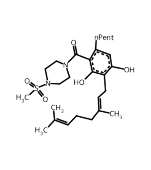 CCCCCc1cc(O)c(C/C=C(\C)CCC=C(C)C)c(O)c1C(=O)N1CCN(S(C)(=O)=O)CC1